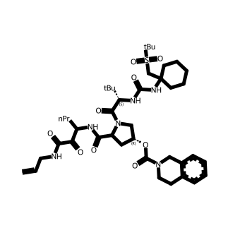 C=CCNC(=O)C(=O)C(CCC)NC(=O)C1C[C@@H](OC(=O)N2CCc3ccccc3C2)CN1C(=O)[C@@H](NC(=O)NC1(CS(=O)(=O)C(C)(C)C)CCCCC1)C(C)(C)C